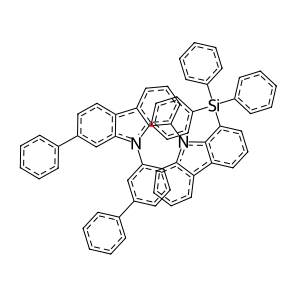 c1ccc(-c2cccc(-n3c4cc(-c5ccccc5)ccc4c4cccc(-n5c6ccccc6c6cccc([Si](c7ccccc7)(c7ccccc7)c7ccccc7)c65)c43)c2)cc1